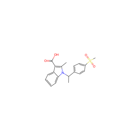 Cc1c(C(=O)O)c2ccccc2n1C(C)c1ccc(S(C)(=O)=O)cc1